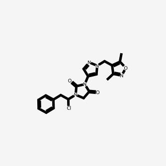 Cc1noc(C)c1Cn1cc(N2C(=O)CN(C(Cl)Cc3ccccc3)C2=O)cn1